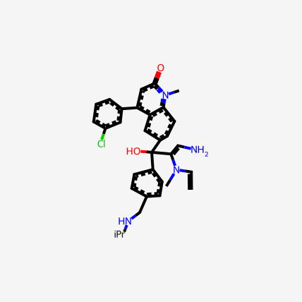 C=CN(C)/C(=C\N)C(O)(c1ccc(CNC(C)C)cc1)c1ccc2c(c1)c(-c1cccc(Cl)c1)cc(=O)n2C